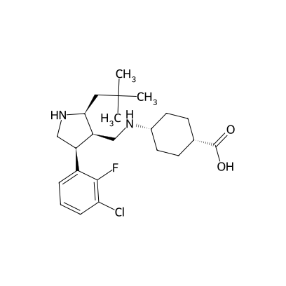 CC(C)(C)C[C@@H]1NC[C@H](c2cccc(Cl)c2F)[C@@H]1CN[C@H]1CC[C@@H](C(=O)O)CC1